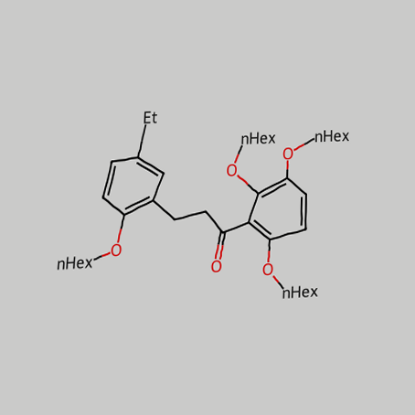 CCCCCCOc1ccc(CC)cc1CCC(=O)c1c(OCCCCCC)ccc(OCCCCCC)c1OCCCCCC